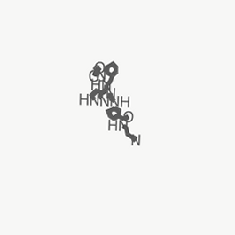 CN(c1ccccc1CNc1nc(Nc2cccc(C(=O)NCCC#N)c2)nc2[nH]ccc12)S(C)(=O)=O